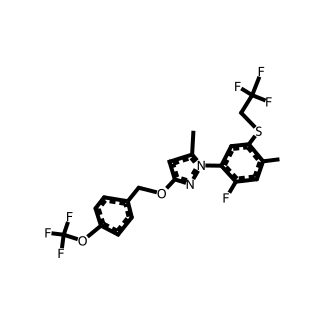 Cc1cc(F)c(-n2nc(OCc3ccc(OC(F)(F)F)cc3)cc2C)cc1SCC(F)(F)F